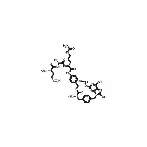 CCCCNOc1nc(N)c2nc(O)n(Cc3ccc(CN(CCCC)C(=O)OCc4ccc(NC(=O)[C@H](CCCNC(N)=O)NC(=O)[C@@H](NC(=O)[C@H](CCC(=O)O)NC(C)=O)C(C)C)cc4)cc3)c2n1